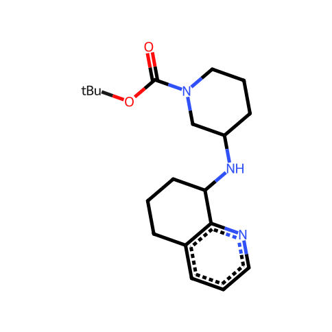 CC(C)(C)OC(=O)N1CCCC(NC2CCCc3cccnc32)C1